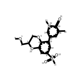 COCC1COc2c(cc(S(C)(=O)=O)cc2-c2cc(C)c(=O)n(C)c2)O1